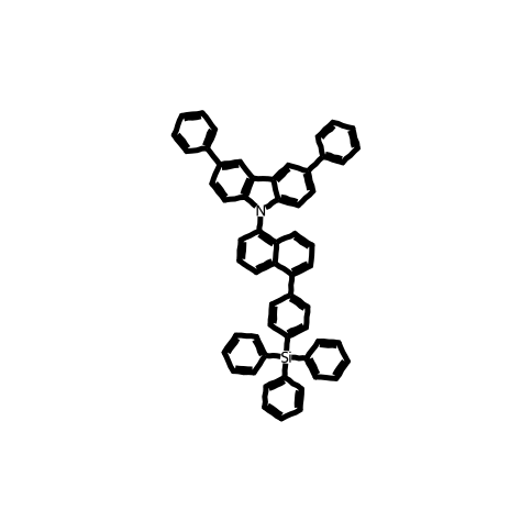 c1ccc(-c2ccc3c(c2)c2cc(-c4ccccc4)ccc2n3-c2cccc3c(-c4ccc([Si](c5ccccc5)(c5ccccc5)c5ccccc5)cc4)cccc23)cc1